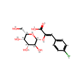 O=C(O)/C(=C/c1ccc(Br)cc1)O[C@H]1O[C@@H](CO)[C@@H](O)[C@@H](O)[C@@H]1O